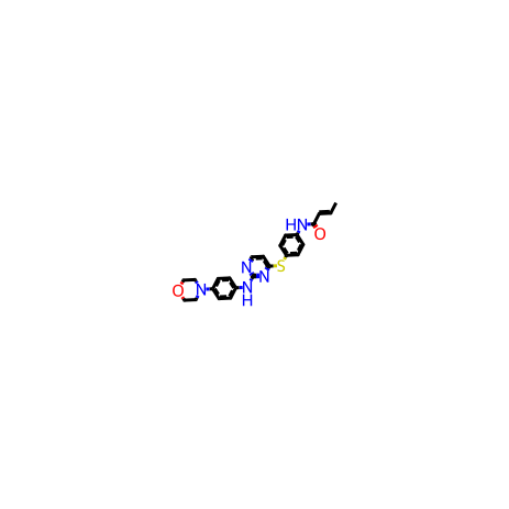 C/C=C/C(=O)Nc1ccc(Sc2ccnc(Nc3ccc(N4CCOCC4)cc3)n2)cc1